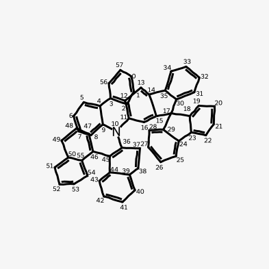 c1ccc(-c2ccccc2N(c2ccc3c(c2)C2(c4ccccc4-c4ccccc42)c2ccccc2-3)c2ccc3ccccc3c2-c2cccc3ccccc23)cc1